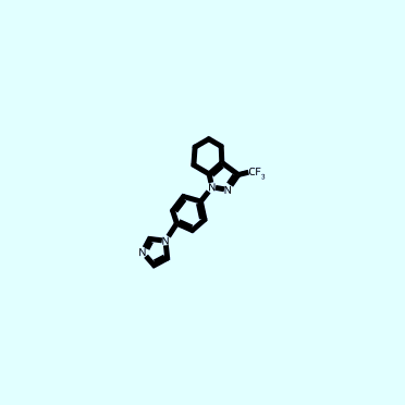 FC(F)(F)c1nn(-c2ccc(-n3ccnc3)cc2)c2c1CCCC2